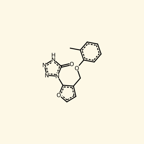 Cc1ccccc1OCc1ccoc1-n1nn[nH]c1=O